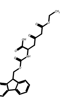 CCOC(=O)CC(=O)CC(NC(=O)OCC1c2ccccc2-c2ccccc21)C(=O)O